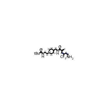 C=C(/C=C(\C=C/N)C(F)(F)F)C(=O)NCC1CCN(CCNC(=O)C(C)(C)C)CC1